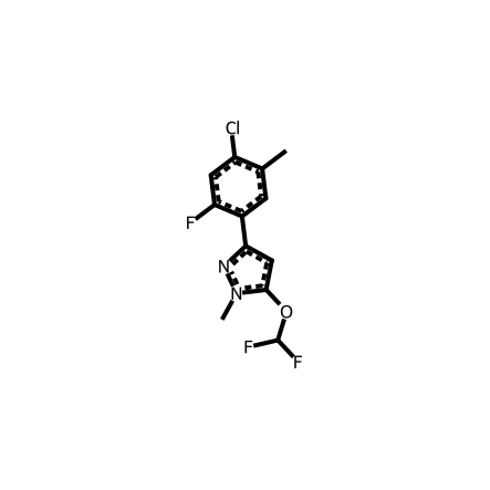 Cc1cc(-c2cc(OC(F)F)n(C)n2)c(F)cc1Cl